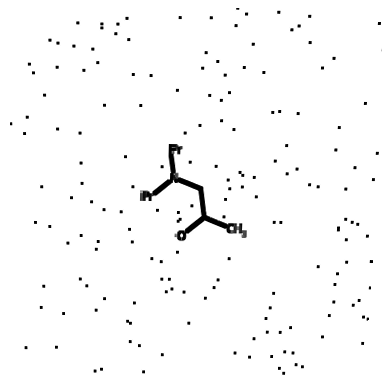 CC([O])CN(C(C)C)C(C)C